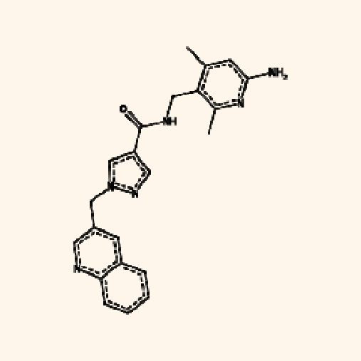 Cc1cc(N)nc(C)c1CNC(=O)c1cnn(Cc2cnc3ccccc3c2)c1